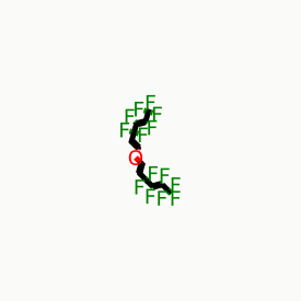 FC(=C(F)C(F)(F)C=COC=CC(F)(F)C(F)=C(F)C(F)(F)F)C(F)(F)F